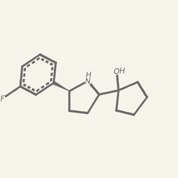 OC1(C2CC[C@@H](c3cccc(F)c3)N2)CCCC1